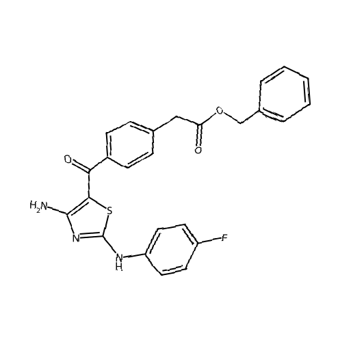 Nc1nc(Nc2ccc(F)cc2)sc1C(=O)c1ccc(CC(=O)OCc2ccccc2)cc1